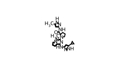 Cc1cc(NC(=O)[C@]2(C)CCCN2c2nc(Nc3cc(C4CC4)[nH]n3)c3cccn3n2)n[nH]1